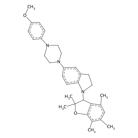 COc1ccc(N2CCN(c3ccc4c(c3)CCN4C3c4c(C)cc(C)c(C)c4OC3(C)C)CC2)cc1